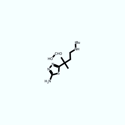 CC(C)(C)NCCC(C)(C)c1nnc(N)s1.O=CO